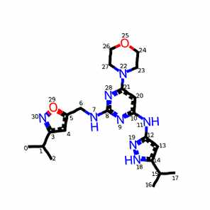 CC(C)c1cc(CNc2nc(Nc3cc(C(C)C)[nH]n3)cc(N3CCOCC3)n2)on1